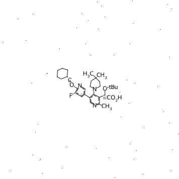 Cc1ncc(-c2cnc(OCC3CCCCC3)c(F)c2)c(N2CCC(C)(C)CC2)c1[C@H](OC(C)(C)C)C(=O)O